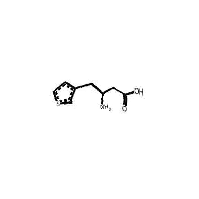 NC(CC(=O)O)Cc1ccsc1